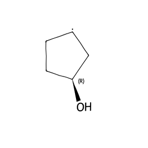 O[C@@H]1C[CH]CC1